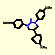 CNc1ccc(C2CN(c3ccc(NC)cc3)NN(c3ccc(NC)cc3)C2)cc1